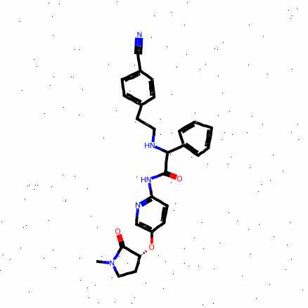 CN1CC[C@@H](Oc2ccc(NC(=O)C(NCCc3ccc(C#N)cc3)c3ccccc3)nc2)C1=O